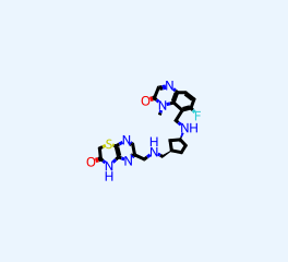 Cn1c(=O)cnc2ccc(F)c(CN[C@H]3CC[C@@H](CNCc4cnc5c(n4)NC(=O)CS5)C3)c21